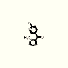 Cn1cccc1C(=O)c1ccc(Cl)nc1